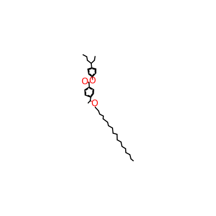 CCCCCCCCCCCCCCCCCCOC(C)c1ccc(C(=O)Oc2ccc(C(CC)CCC)cc2)cc1